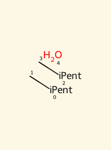 CCCC(C)C.CCCC(C)C.O